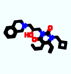 C=Cc1c(/C=C\C)c(=O)n(C[C@H](O)CN2CCc3ccccc3C2)c(=O)n1CC1CCC1